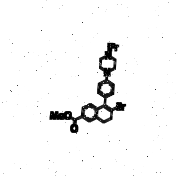 COC(=O)c1ccc2c(c1)CCC(Br)=C2c1ccc(N2CCN(C(C)C)CC2)cc1